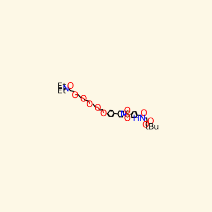 CCN(CC)C(=O)CCOCCOCCOCCOCCOc1ccc(C2CCN(S(=O)(=O)c3ccc(C(=O)NCC(=O)OC(C)(C)C)cc3)CC2)cc1